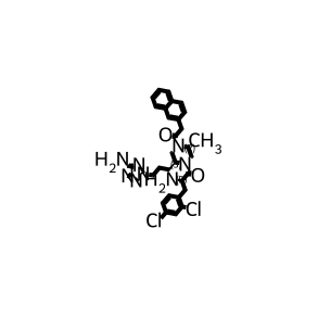 C[C@@H]1CN(C(=O)[C@H](N)Cc2ccc(Cl)cc2Cl)[C@@H](CCCn2nnc(N)n2)CN1C(=O)Cc1ccc2ccccc2c1